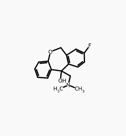 CN(C)CC1(O)c2ccc(F)cc2COc2ccccc21